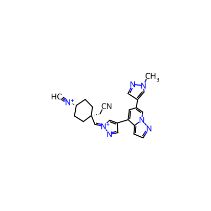 C#[N+][C@H]1CC[C@@](/C=[N+]2\C=C(c3cc(-c4cnn(C)c4)cn4nccc34)C=N2)(CC#N)CC1